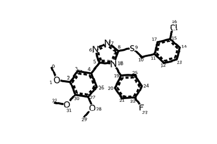 COc1cc(-c2nnc(SCc3cccc(Cl)c3)n2-c2ccc(F)cc2)cc(OC)c1OC